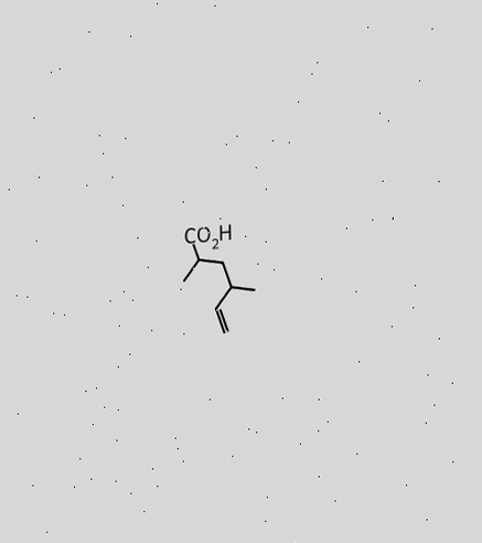 C=CC(C)CC(C)C(=O)O